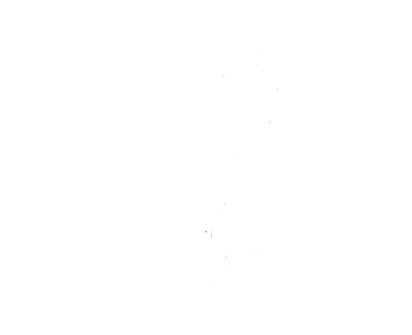 CC=C1CCC(=O)N1OC(=O)CCc1ccc(O)cc1